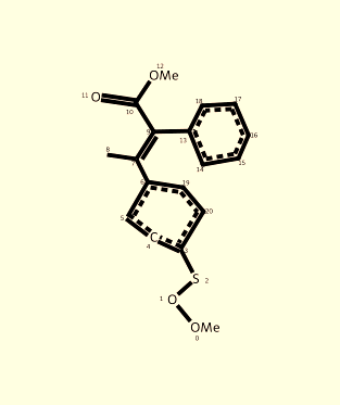 COOSc1ccc(/C(C)=C(/C(=O)OC)c2ccccc2)cc1